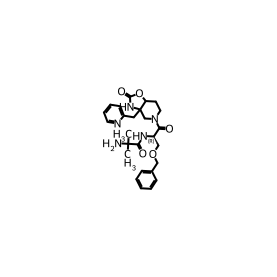 CC(C)(N)C(=O)N[C@H](COCc1ccccc1)C(=O)N1CCC2OC(=O)NC2(Cc2ccccn2)C1